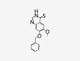 COc1cc2c(=S)[nH]cnc2cc1OCc1ccccc1